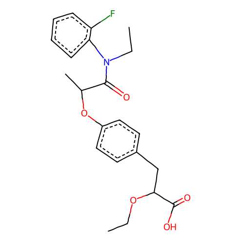 CCOC(Cc1ccc(OC(C)C(=O)N(CC)c2ccccc2F)cc1)C(=O)O